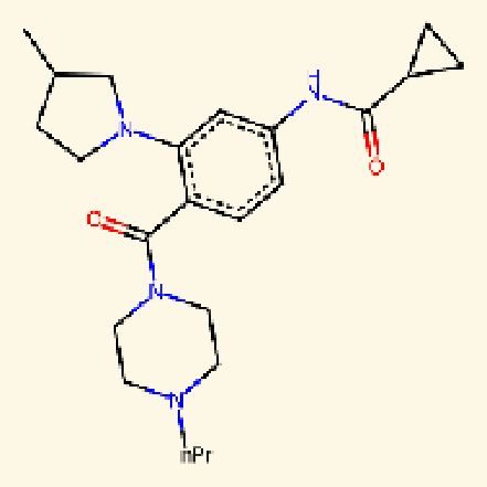 CCCN1CCN(C(=O)c2ccc(NC(=O)C3CC3)cc2N2CCC(C)C2)CC1